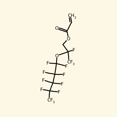 C=CC(=O)OCC(F)(OC(F)(F)C(F)(F)C(F)(F)C(F)(F)C(F)(F)F)C(F)(F)F